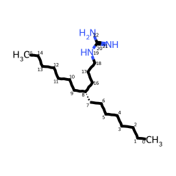 CCCCCCCC[C@H](CCCCCCC)CCCNC(=N)N